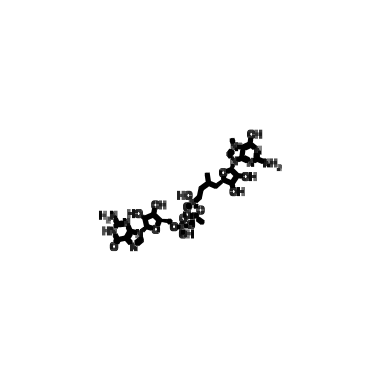 CC(CCP(=O)(O)OP(C)(=O)OP(=O)(O)OC[C@H]1O[C@@H](n2cnc3c(=O)[nH]c(N)nc32)[C@@H](O)C1O)C[C@H]1O[C@@H](n2c[n+](C)c3c(O)nc(N)nc32)C(O)C1O